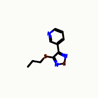 CCCSc1nsnc1-c1cccnc1